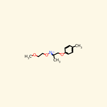 COCCO/N=C(\C)COc1ccc(C)cc1